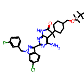 CC1(C2CCC(CO[Si](C)(C)C(C)(C)C)CC2)C(=O)Nc2nc(-c3nn(Cc4cccc(F)c4)c4cc(Cl)ccc34)nc(N)c21